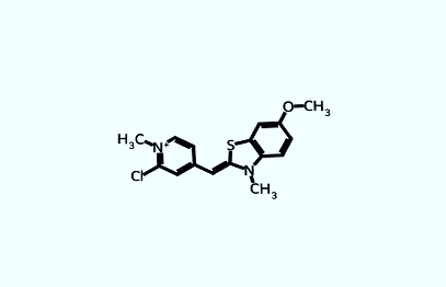 COc1ccc2c(c1)SC(=Cc1cc[n+](C)c(Cl)c1)N2C